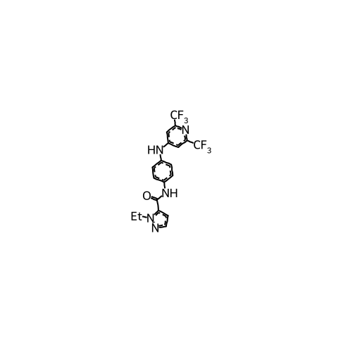 CCn1nccc1C(=O)Nc1ccc(Nc2cc(C(F)(F)F)nc(C(F)(F)F)c2)cc1